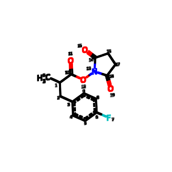 CC(Cc1ccc(F)cc1)C(=O)ON1C(=O)CCC1=O